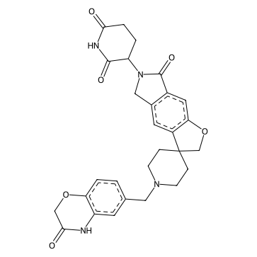 O=C1CCC(N2Cc3cc4c(cc3C2=O)OCC42CCN(Cc3ccc4c(c3)NC(=O)CO4)CC2)C(=O)N1